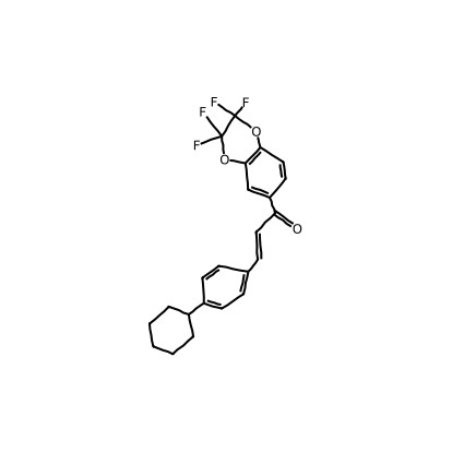 O=C(C=Cc1ccc(C2CCCCC2)cc1)c1ccc2c(c1)OC(F)(F)C(F)(F)O2